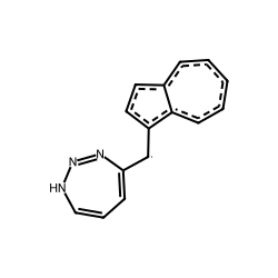 [CH](C1=CC=CNN=N1)c1ccc2cccccc1-2